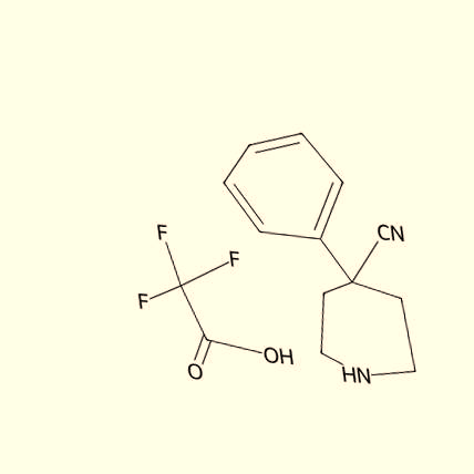 N#CC1(c2ccccc2)CCNCC1.O=C(O)C(F)(F)F